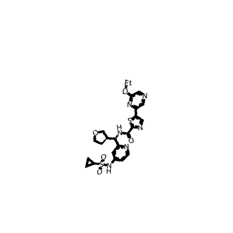 CCOc1cncc(-c2cnc(C(=O)N[C@@H](c3cc(NS(=O)(=O)C4CC4)ccn3)[C@H]3CCOC3)s2)n1